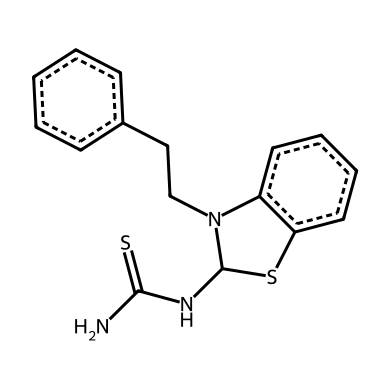 NC(=S)NC1Sc2ccccc2N1CCc1ccccc1